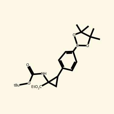 CCOC(=O)C1(NC(=O)OC(C)(C)C)CC1c1ccc(B2OC(C)(C)C(C)(C)O2)cc1